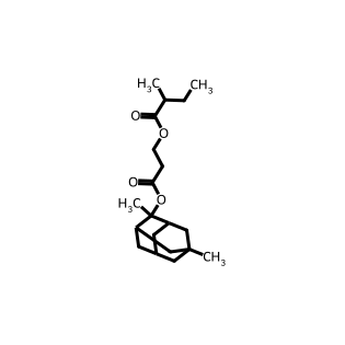 CCC(C)C(=O)OCCC(=O)OC1(C)C2CC3CC1CC(C)(C3)C2